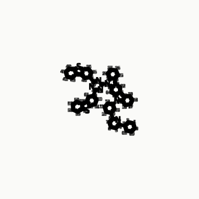 c1ccc(-c2cccc(-c3cccc(-n4c5ccccc5c5cc6c7ccccc7n(-c7nc(-c8ccc9sc%10ccccc%10c9c8)nc(-c8ccc9sc%10ccccc%10c9c8)n7)c6cc54)c3)n2)cc1